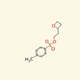 Cc1ccc(S(=O)(=O)OCCC2CCO2)cc1